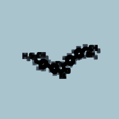 CCC(C(=O)C(CC)c1ccc(-c2ccc(CN(C)C)cc2)cc1)c1ccc(-c2ccc(CN(C)C)cc2)cc1